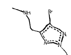 CNCc1nn(C)nc1Br